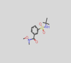 CON(C)C(=O)c1cccc(S(=O)(=O)NC(C)(C)C)c1